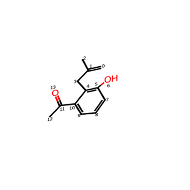 C=C(C)Cc1c(O)cccc1C(C)=O